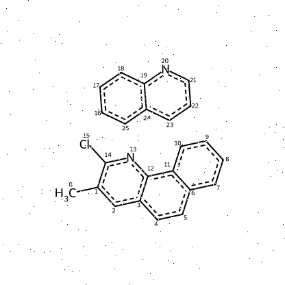 Cc1cc2ccc3ccccc3c2nc1Cl.c1ccc2ncccc2c1